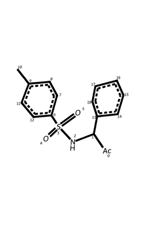 CC(=O)C(NS(=O)(=O)c1ccc(C)cc1)c1ccccc1